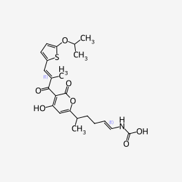 C/C(=C\c1ccc(OC(C)C)s1)C(=O)c1c(O)cc(C(C)CC/C=C/NC(=O)O)oc1=O